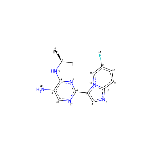 CC(C)[C@@H](C)Nc1nc(-c2cnc3ccc(F)cn23)ncc1N